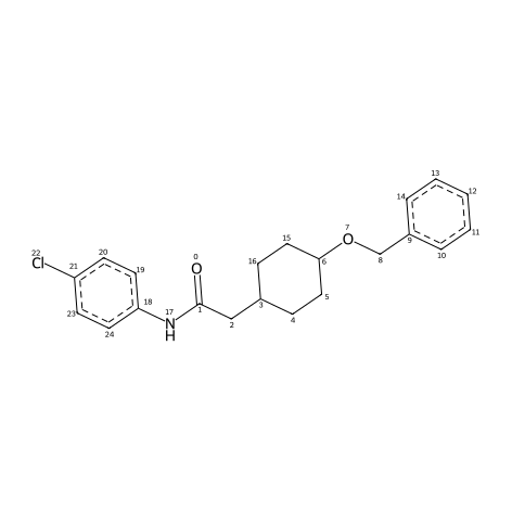 O=C(CC1CCC(OCc2ccccc2)CC1)Nc1ccc(Cl)cc1